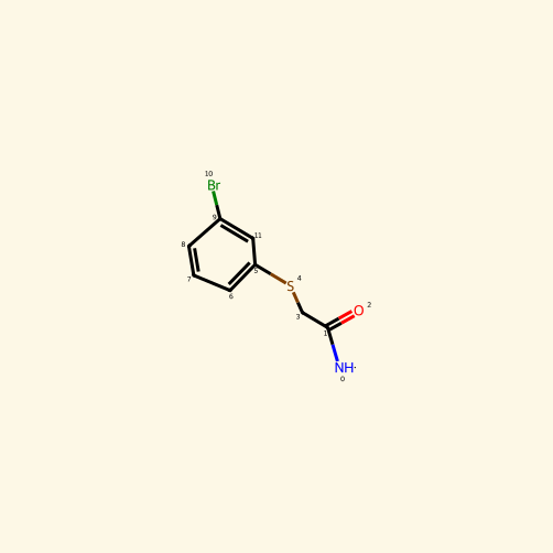 [NH]C(=O)CSc1cccc(Br)c1